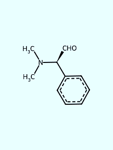 CN(C)[C@@H](C=O)c1ccccc1